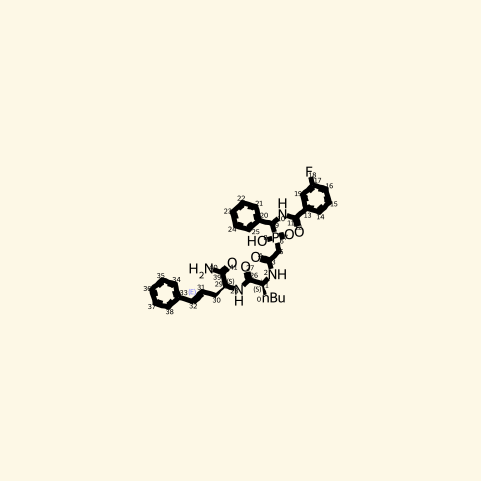 CCCC[C@H](NC(=O)CP(=O)(O)C(NC(=O)c1cccc(F)c1)c1ccccc1)C(=O)N[C@@H](C/C=C/c1ccccc1)C(N)=O